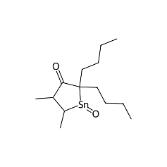 CCCC[C]1(CCCC)C(=O)C(C)[CH](C)[Sn]1=[O]